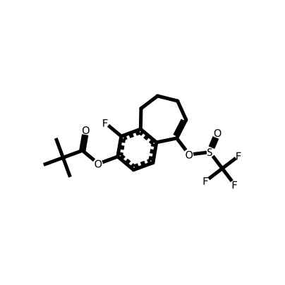 CC(C)(C)C(=O)Oc1ccc2c(c1F)CCCC=C2OS(=O)C(F)(F)F